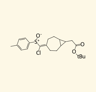 Cc1ccc([S+]([O-])C(Cl)=C2CCC3C(CC2)C3CC(=O)OC(C)(C)C)cc1